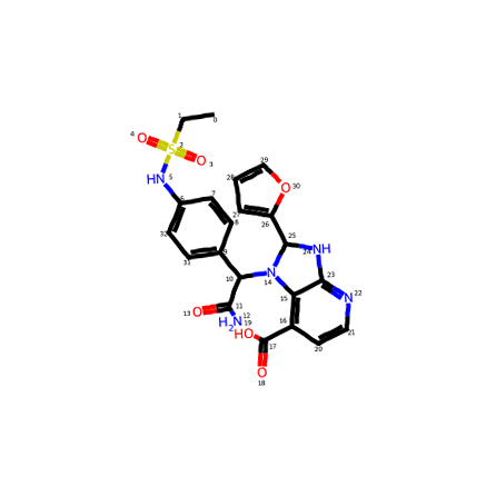 CCS(=O)(=O)Nc1ccc(C(C(N)=O)N2c3c(C(=O)O)ccnc3NC2c2ccco2)cc1